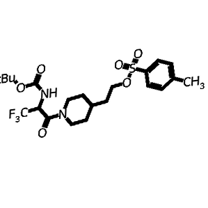 Cc1ccc(S(=O)(=O)OCCC2CCN(C(=O)C(NC(=O)OC(C)(C)C)C(F)(F)F)CC2)cc1